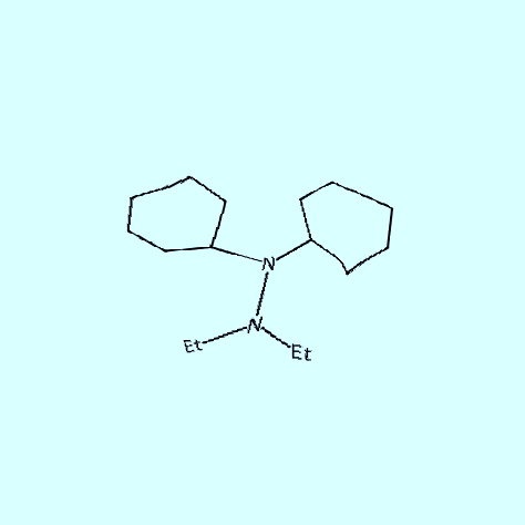 CCN(CC)N(C1CCCCC1)C1CCCCC1